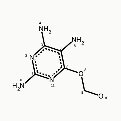 Nc1nc(N)c(N)c(OC[O])n1